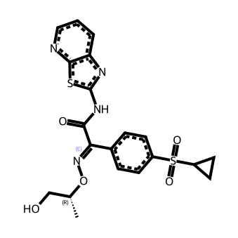 C[C@H](CO)O/N=C(/C(=O)Nc1nc2cccnc2s1)c1ccc(S(=O)(=O)C2CC2)cc1